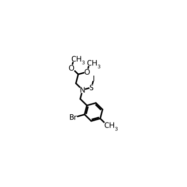 COC(CN(Cc1ccc(C)cc1Br)SI)OC